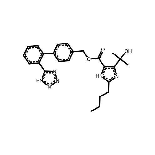 CCCCc1nc(C(C)(C)O)c(C(=O)OCc2ccc(-c3ccccc3-c3nnn[nH]3)cc2)[nH]1